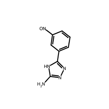 Nc1nnc(-c2cccc(N=O)c2)[nH]1